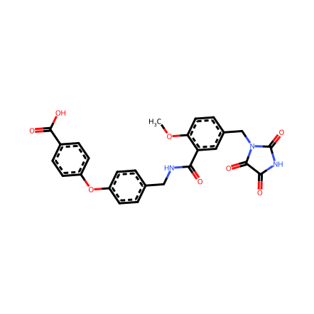 COc1ccc(CN2C(=O)NC(=O)C2=O)cc1C(=O)NCc1ccc(Oc2ccc(C(=O)O)cc2)cc1